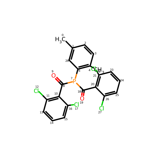 Cc1ccc(C)c(P(C(=O)c2c(Cl)cccc2Cl)C(=O)c2c(Cl)cccc2Cl)c1